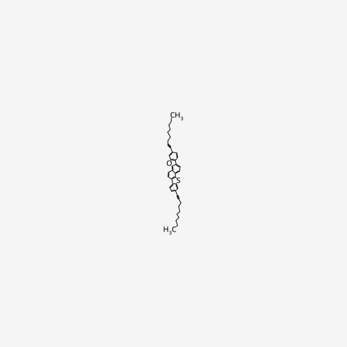 CCCCCCCCC#Cc1ccc2c(c1)oc1c2ccc2c1ccc1c3ccc(C#CCCCCCCCC)cc3sc12